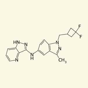 Cc1nn(CC2CC(F)(F)C2)c2ccc(Nc3n[nH]c4cccnc34)cc12